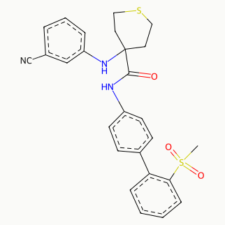 CS(=O)(=O)c1ccccc1-c1ccc(NC(=O)C2(Nc3cccc(C#N)c3)CCSCC2)cc1